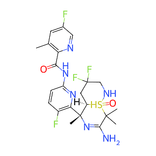 Cc1cc(F)cnc1C(=O)Nc1ccc(F)c([C@@]2(C)N=C(N)C(C)(C)[SH]3(=O)NCC(F)(F)C[C@H]23)n1